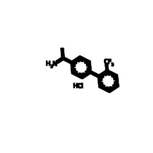 CC(N)c1ccc(-c2ccccc2C(F)(F)F)cc1.Cl